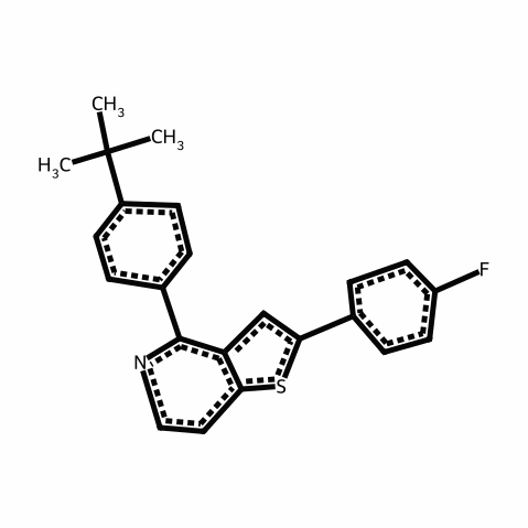 CC(C)(C)c1ccc(-c2nccc3sc(-c4ccc(F)cc4)cc23)cc1